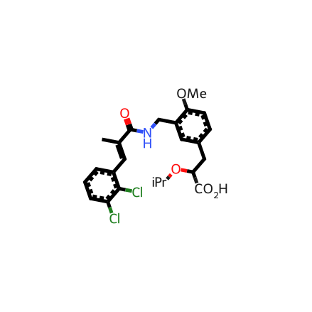 COc1ccc(CC(OC(C)C)C(=O)O)cc1CNC(=O)C(C)=Cc1cccc(Cl)c1Cl